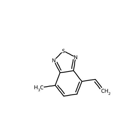 C=Cc1ccc(C)c2nsnc12